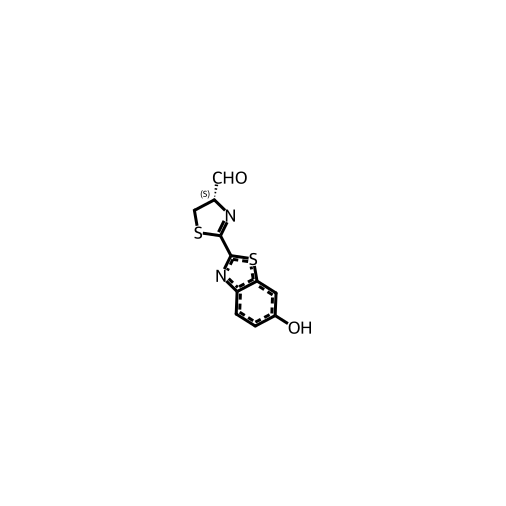 O=C[C@H]1CSC(c2nc3ccc(O)cc3s2)=N1